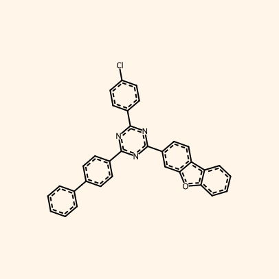 Clc1ccc(-c2nc(-c3ccc(-c4ccccc4)cc3)nc(-c3ccc4c(c3)oc3ccccc34)n2)cc1